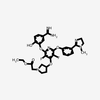 CCOC(=O)CN1CCC(Oc2c(F)c(Oc3cccc(C4=NCCN4C)c3)nc(Oc3cc(C(=N)N)ccc3O)c2F)C1